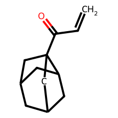 C=CC(=O)C12CC3CC(CC1C3)C2